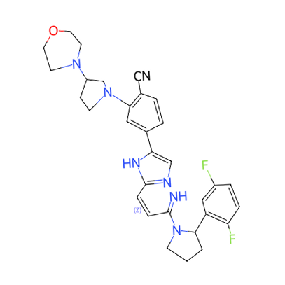 N#Cc1ccc(-c2cnc(/C=C\C(=N)N3CCCC3c3cc(F)ccc3F)[nH]2)cc1N1CCC(N2CCOCC2)C1